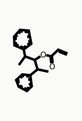 C=CC(=O)OC(C(C)c1ccccc1)C(C)c1ccccc1